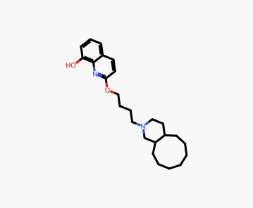 Oc1cccc2ccc(OCCCCN3CCC4CCCCCCCC4C3)nc12